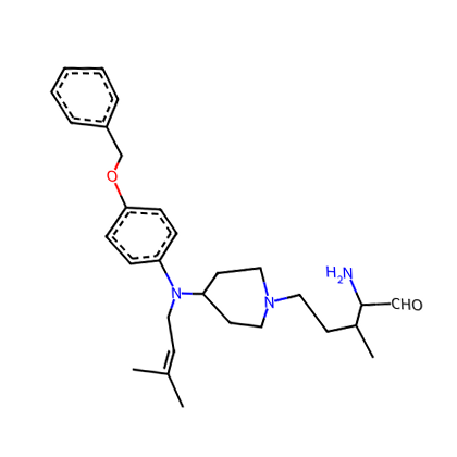 CC(C)=CCN(c1ccc(OCc2ccccc2)cc1)C1CCN(CCC(C)C(N)C=O)CC1